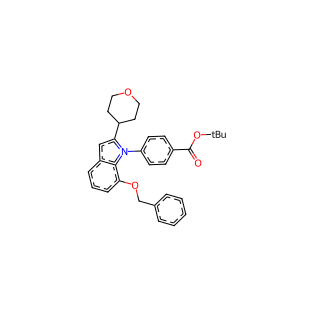 CC(C)(C)OC(=O)c1ccc(-n2c(C3CCOCC3)cc3cccc(OCc4ccccc4)c32)cc1